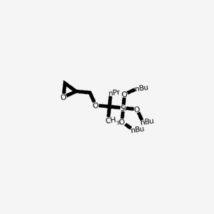 CCCCO[Si](OCCCC)(OCCCC)C(C)(CCC)OCC1CO1